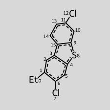 CCc1cc2c(cc1Cl)sc1cc(Cl)ccc12